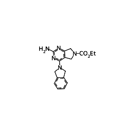 CCOC(=O)N1Cc2nc(N)nc(N3Cc4ccccc4C3)c2C1